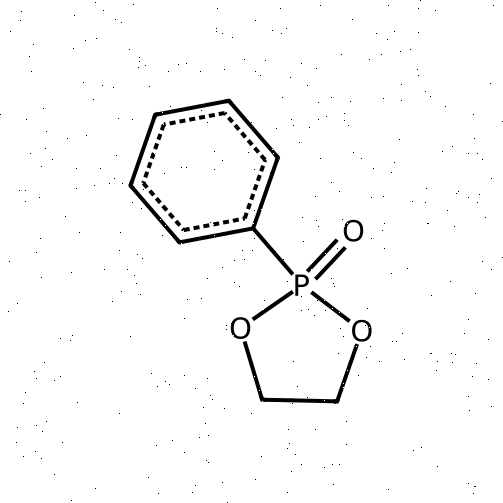 O=P1(c2ccccc2)OCCO1